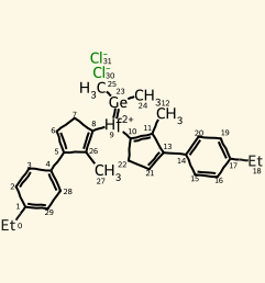 CCc1ccc(C2=CC[C]([Hf+2]([C]3=C(C)C(c4ccc(CC)cc4)=CC3)=[Ge]([CH3])[CH3])=C2C)cc1.[Cl-].[Cl-]